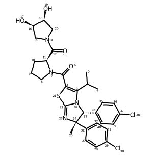 CC(C)C1=C(C(=O)N2CCC[C@H]2C(=O)N2C[C@@H](O)[C@@H](O)C2)SC2=N[C@@](C)(c3ccc(Cl)cc3)[C@@H](c3ccc(Cl)cc3)N21